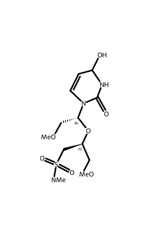 CNS(=O)(=O)C[C@H](COC)O[C@H](COC)N1C=CC(O)NC1=O